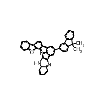 CC1(C)c2ccccc2-c2cc(-c3cc4c5c(n6c4c(c3)c3ccc4c7ccccc7oc4c36)NC3C=CC=CC3=N5)ccc21